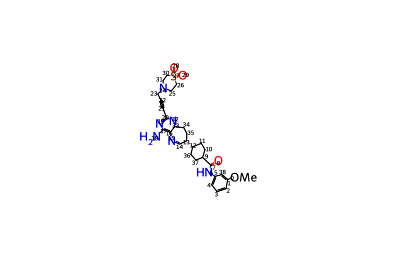 COc1cccc(NC(=O)C2CCC([C@@H]3C=Nc4c(N)nc(C#CCN5CCS(=O)(=O)CC5)nc4CC3)CC2)c1